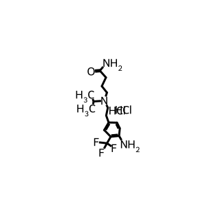 CC(C)N(CCCC(N)=O)CCc1ccc(N)c(C(F)(F)F)c1.Cl.Cl